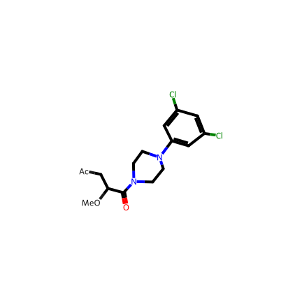 COC(CC(C)=O)C(=O)N1CCN(c2cc(Cl)cc(Cl)c2)CC1